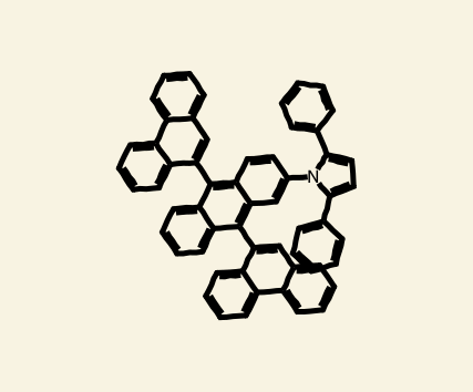 c1ccc(-c2ccc(-c3ccccc3)n2-c2ccc3c(-c4cc5ccccc5c5ccccc45)c4ccccc4c(-c4cc5ccccc5c5ccccc45)c3c2)cc1